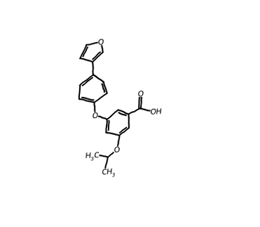 CC(C)Oc1cc(Oc2ccc(-c3ccoc3)cc2)cc(C(=O)O)c1